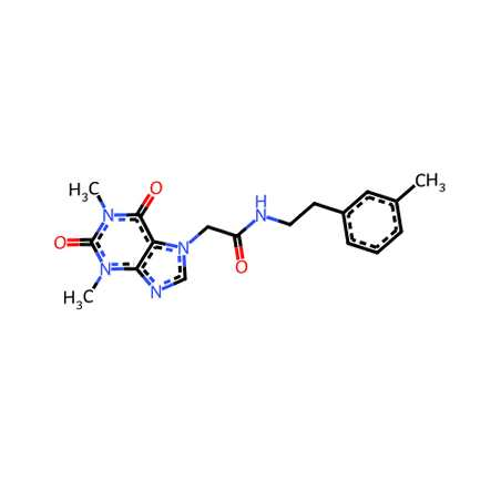 Cc1cccc(CCNC(=O)Cn2cnc3c2c(=O)n(C)c(=O)n3C)c1